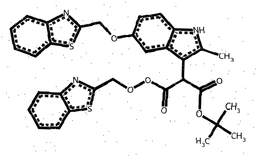 Cc1[nH]c2ccc(OCc3nc4ccccc4s3)cc2c1C(C(=O)OOCc1nc2ccccc2s1)C(=O)OC(C)(C)C